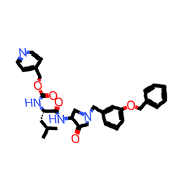 CC(C)C[C@H](NC(=O)OCc1ccncc1)C(=O)NC1CN(Cc2cccc(OCc3ccccc3)c2)CC1=O